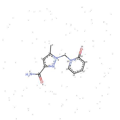 Cc1cc(C(N)=O)nn1Cn1ccccc1=O